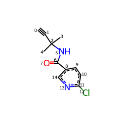 C#CC(C)(C)NC(=O)c1ccc(Cl)nc1